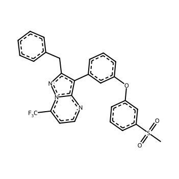 CS(=O)(=O)c1cccc(Oc2cccc(-c3c(Cc4ccccc4)nn4c(C(F)(F)F)ccnc34)c2)c1